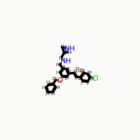 Clc1ccc(/C=C/c2cc(CNCC3CNC3)cc(OCc3ccccc3)c2)c(Br)c1